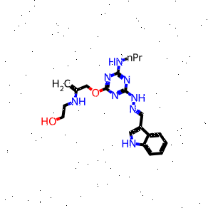 C=C(COc1nc(NCCC)nc(N/N=C/c2c[nH]c3ccccc23)n1)NCCO